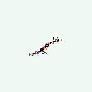 C=C(C)C(=O)OCCOCCOc1ccc(C(=O)Oc2ccc(/C=C/C(=O)OCCC#N)c(C)c2)cc1